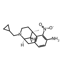 C[C@@H]1[C@H]2Cc3ccc(N)c([N+](=O)[O-])c3[C@]1(C)CCN2CC1CC1